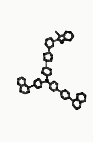 Cc1c(-c2cccc(-c3ccc(-c4ccc(N(c5ccc(-c6ccc(-c7cccc8ccccc78)cc6)cc5)c5ccc(-c6cccc7ccccc67)cc5)cc4)cc3)c2)oc2ccccc12